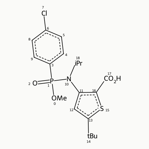 COP(=O)(c1ccc(Cl)cc1)N(c1cc(C(C)(C)C)sc1C(=O)O)C(C)C